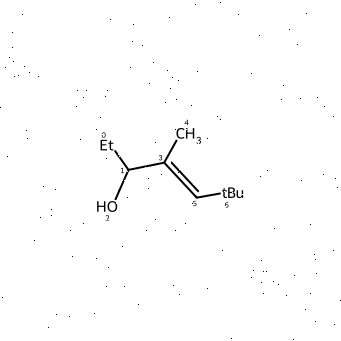 CCC(O)/C(C)=C/C(C)(C)C